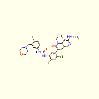 CCn1c(=O)c(-c2cc(NC(=O)Nc3ccc(F)c(CN4CCOCC4)c3)c(F)cc2Cl)cc2cnc(NC)cc21